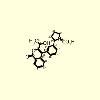 CC(O)c1oc(=O)c2ccccc2c1-c1cccc([C@H]2CCCN2C(=O)O)c1